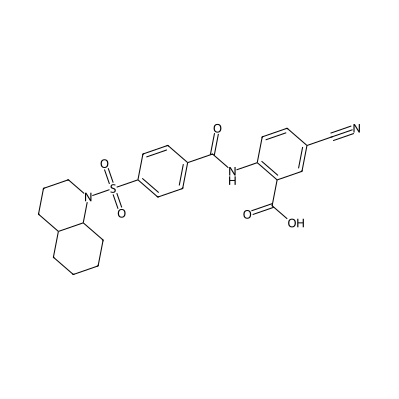 N#Cc1ccc(NC(=O)c2ccc(S(=O)(=O)N3CCCC4CCCCC43)cc2)c(C(=O)O)c1